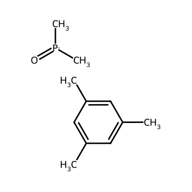 C[P](C)=O.Cc1cc(C)cc(C)c1